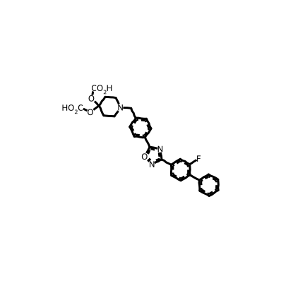 O=C(O)OC1(OC(=O)O)CCN(Cc2ccc(-c3nc(-c4ccc(-c5ccccc5)c(F)c4)no3)cc2)CC1